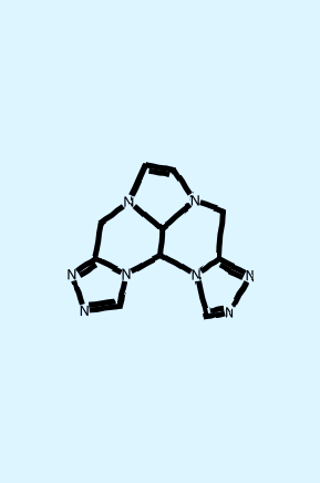 C1=CN2Cc3nncn3C3C2N1Cc1nncn13